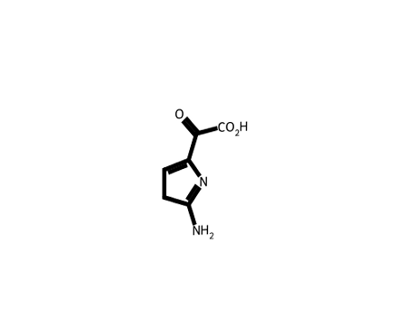 NC1=NC(C(=O)C(=O)O)=CC1